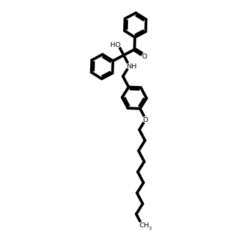 CCCCCCCCCCOc1ccc(CNC(O)(C(=O)c2ccccc2)c2ccccc2)cc1